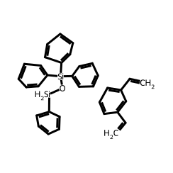 C=Cc1cccc(C=C)c1.c1ccc([SiH2]O[Si](c2ccccc2)(c2ccccc2)c2ccccc2)cc1